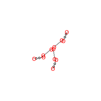 COc1ccc(-c2ccc(C=CC(=O)OCCCCCCCCCCOCC(COCCCCCCCCCCOC(=O)C=Cc3ccc(-c4ccc(OC)cc4)cc3)OCCCCCCCCCCOC(=O)C=Cc3ccc(-c4ccc(OC)cc4)cc3)cc2)cc1